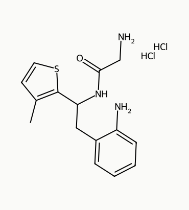 Cc1ccsc1C(Cc1ccccc1N)NC(=O)CN.Cl.Cl